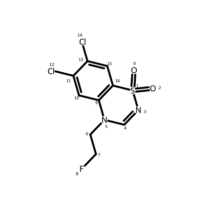 O=S1(=O)N=CN(CCF)c2cc(Cl)c(Cl)cc21